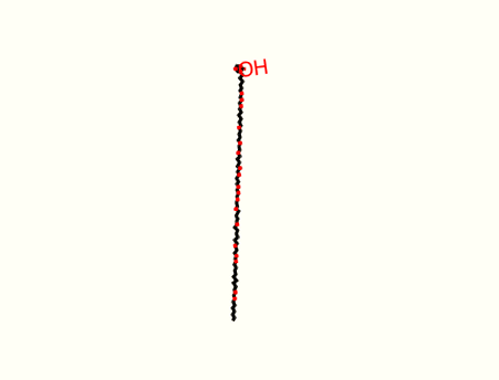 CCCCCCCCCCCCCCCCCCCCCCCCCCCCCCCCCCCCCCCCCCCCCCCCCCCCCCCCCCCCCCCCCCCCCCCCCCCCCCCCc1ccccc1O